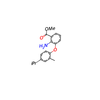 COC(=O)c1cccc(Oc2ccc(C(C)C)cc2C)c1N